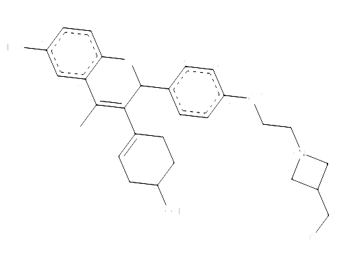 CC1=C(C2=CCC(O)CC2)C(c2ccc(OCCN3CC(CF)C3)cc2)Oc2ccc(O)cc21